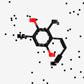 C#C/C=C\c1c(O)cc(C)c(O)c1C